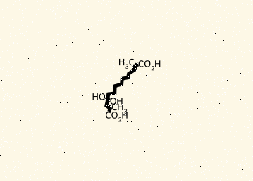 CC(=CCCCCCCCC(O)(O)C=C(C)C(=O)O)C(=O)O